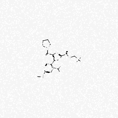 C[C@H]1CCCN1C(=O)c1nc(C(=O)NCC(O)(C(F)(F)F)C(F)(F)F)sc1-c1cnc(NC(C)(C)C)cc1C(F)F